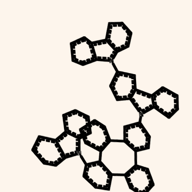 c1ccc2c(c1)-c1ccc(-n3c4ccccc4c4cc(-n5c6ccccc6c6ccccc65)ccc43)cc1-c1ccccc1-c1c-2cccc1-n1c2ccccc2c2ccccc21